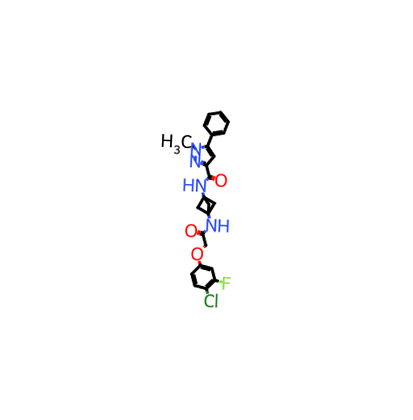 Cn1nc(C(=O)NC23CC(NC(=O)COc4ccc(Cl)c(F)c4)(C2)C3)cc1-c1ccccc1